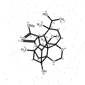 CCOC12C3CC(=O)OC1C1(O)CC4(C)CC15OCOC2(CCC3(C)C(C)O)C5(C)C4CC(=O)OC